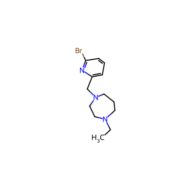 CCN1CCCN(Cc2cccc(Br)n2)CC1